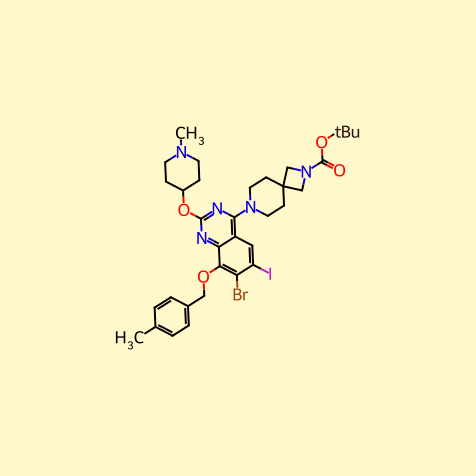 Cc1ccc(COc2c(Br)c(I)cc3c(N4CCC5(CC4)CN(C(=O)OC(C)(C)C)C5)nc(OC4CCN(C)CC4)nc23)cc1